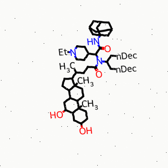 CCCCCCCCCCCC(CCCCCCCCCCC)N(C(=O)CCC(C)C1CCC2C3CC(O)C4CC(O)CCC4(C)C3CCC12C)C(C(=O)NC12CC3CC(CC(C3)C1)C2)C1CCN(CC)CC1